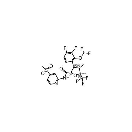 C[C@@H]1[C@H](c2ccc(F)c(F)c2OC(F)F)[C@@H](C(=O)Nc2cc(S(C)(=O)=O)ccn2)O[C@]1(C)C(F)(F)F